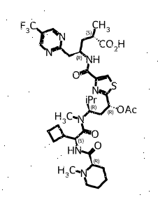 CC(=O)O[C@H](C[C@H](C(C)C)N(C)C(=O)[C@@H](NC(=O)[C@H]1CCCCN1C)C1CCC1)c1nc(C(=O)N[C@@H](Cc2ncc(C(F)(F)F)cn2)C[C@H](C)C(=O)O)cs1